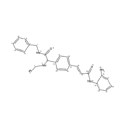 CC(C)CNC(C(=O)NCc1ccccc1)c1ccc(C=CC(=O)Nc2ccccc2N)cc1